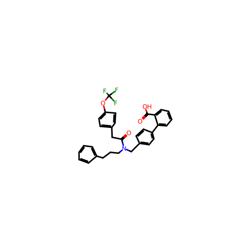 O=C(O)c1ccccc1-c1ccc(CN(CCCc2ccccc2)C(=O)Cc2ccc(OC(F)(F)F)cc2)cc1